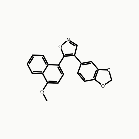 COc1ccc(-c2oncc2-c2ccc3c(c2)OCO3)c2ccccc12